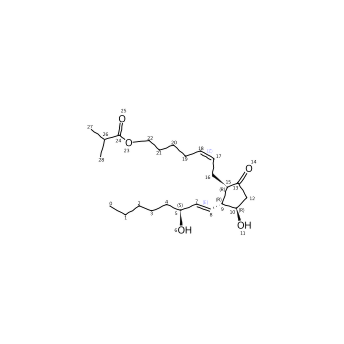 CCCCC[C@H](O)/C=C/[C@H]1[C@H](O)CC(=O)[C@@H]1C/C=C\CCCCOC(=O)C(C)C